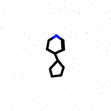 C1=CC(C2CCCC2)CC[N]1